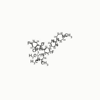 C[C@@H]1CN(c2cc(F)c(-c3cnc(N4CCCN(C)CC4)nc3)cc2NC(=O)c2ccc(F)cc2C(F)(F)F)C[C@H](C)N1C